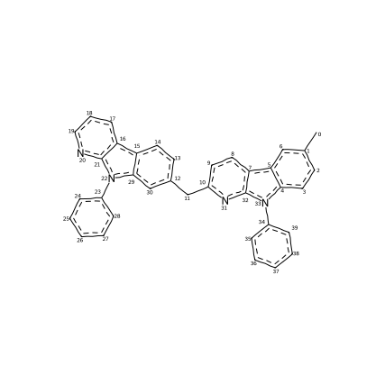 Cc1ccc2c(c1)c1ccc(Cc3ccc4c5cccnc5n(-c5ccccc5)c4c3)nc1n2-c1ccccc1